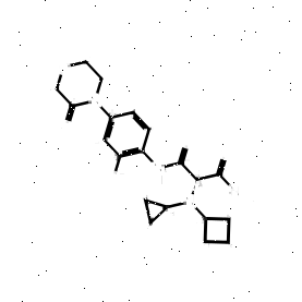 NC(=O)[C@H](C(=O)Nc1ccc(N2CCOCC2=O)cc1C(F)(F)F)N(C1CCC1)C1CC1